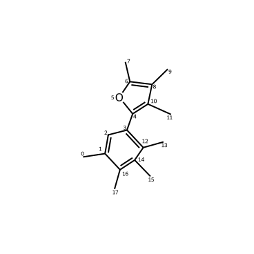 Cc1cc(-c2oc(C)c(C)c2C)c(C)c(C)c1C